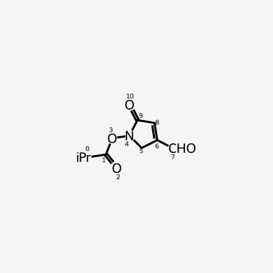 CC(C)C(=O)ON1CC(C=O)=CC1=O